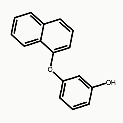 Oc1cccc(Oc2cccc3ccccc23)c1